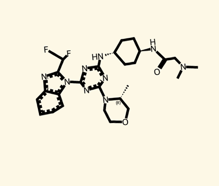 C[C@@H]1COCCN1c1nc(N[C@H]2CC[C@H](NC(=O)CN(C)C)CC2)nc(-n2c(C(F)F)nc3ccccc32)n1